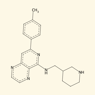 Cc1ccc(-c2cc3nccnc3c(NCC3CCCNC3)n2)cc1